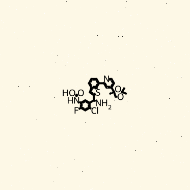 CC1(C)OCC(C)(c2ccnc(-c3cccc4cc(C(N)c5cc(NC(=O)O)c(F)cc5Cl)sc34)c2)O1